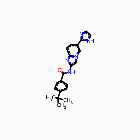 CC(C)(C)c1ccc(C(=O)Nc2cn3cc(-c4ncc[nH]4)ccc3n2)cc1